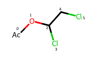 CC(=O)OC(Cl)CCl